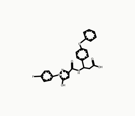 O=C(O)CC(NC(=O)c1cc(O)n(-c2ccc(F)cc2)n1)c1ccc(Oc2ccccc2)cc1